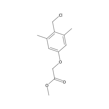 COC(=O)COc1cc(C)c(CCl)c(C)c1